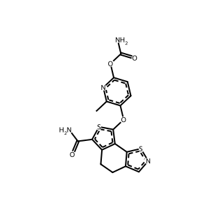 Cc1nc(OC(N)=O)ccc1Oc1sc(C(N)=O)c2c1-c1sncc1CC2